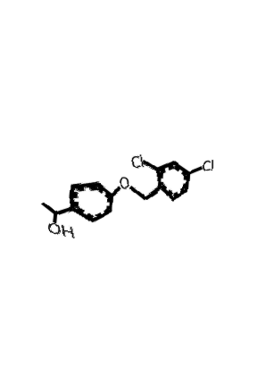 CC(O)c1ccc(OCc2ccc(Cl)cc2Cl)cc1